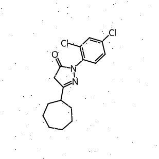 O=C1CC(C2CCCCCC2)=NN1c1ccc(Cl)cc1Cl